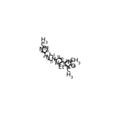 CCc1nc(N2CCN(Cc3cnc(C)nc3)CC2)ccc1-c1cc(C)c(=O)n(C)c1